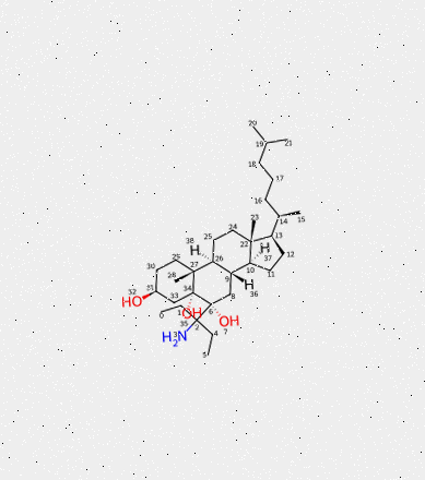 CCC(N)(CC)[C@]1(O)C[C@H]2[C@@H]3CC[C@H]([C@H](C)CCCC(C)C)[C@@]3(C)CC[C@@H]2[C@@]2(C)CC[C@H](O)C[C@]12O